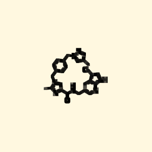 Cc1cnn(Cc2ccc(Cn3cc(C(=O)NCc4cnc5[nH]cc(Cl)c5c4)nc3C)cc2)c1